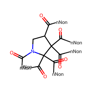 CCCCCCCCCC(=O)C1CN(C(=O)CCCCCCCCC)C(C(=O)CCCCCCCCC)(C(=O)CCCCCCCCC)C1(C(=O)CCCCCCCCC)C(=O)CCCCCCCCC